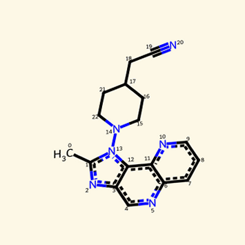 Cc1nc2cnc3cccnc3c2n1N1CCC(CC#N)CC1